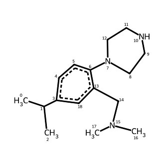 CC(C)c1ccc(N2CCNCC2)c(CN(C)C)c1